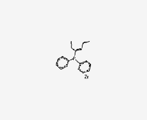 CCC=C(CC)P(c1ccccc1)c1ccccc1.[Zr]